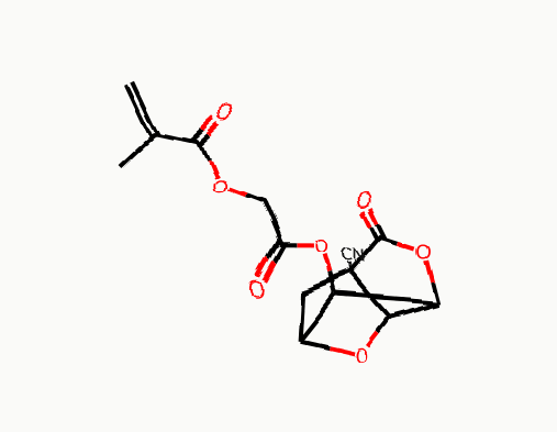 C=C(C)C(=O)OCC(=O)OC1C2CC3(C#N)C(=O)OC1C3O2